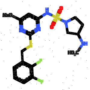 COc1cc(NS(=O)(=O)N2CCC(NC(=O)O)C2)nc(SCc2cccc(F)c2F)n1